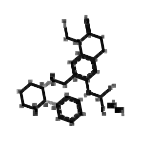 Cl.Cl.O=C1CCc2cc(OC(F)F)c(CN[C@H]3CCCN[C@H]3c3ccccc3)cc2N1CI